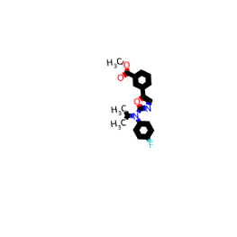 COC(=O)c1cccc(-c2cnc(N(c3ccc(F)cc3)C(C)C)o2)c1